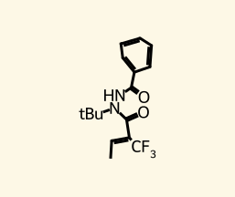 CC=C(C(=O)N(NC(=O)c1ccccc1)C(C)(C)C)C(F)(F)F